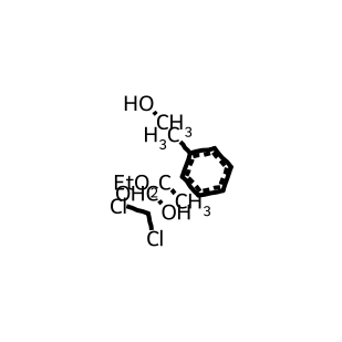 CCOC(C)=O.CO.Cc1ccccc1.ClCCl.O=CO